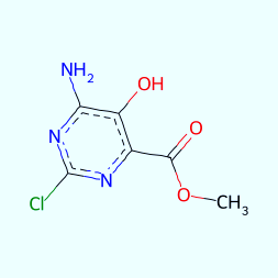 COC(=O)c1nc(Cl)nc(N)c1O